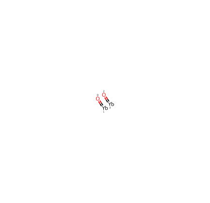 [O]=[Yb].[O]=[Yb]